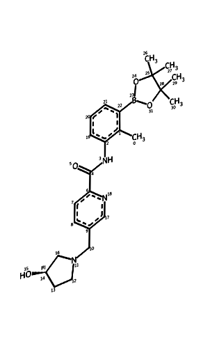 Cc1c(NC(=O)c2ccc(CN3CC[C@@H](O)C3)cn2)cccc1B1OC(C)(C)C(C)(C)O1